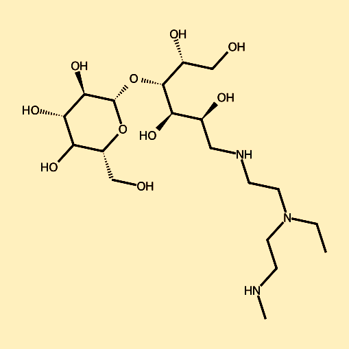 CCN(CCNC)CCNC[C@H](O)[C@@H](O)[C@H](O[C@@H]1O[C@H](CO)C(O)[C@H](O)[C@H]1O)[C@H](O)CO